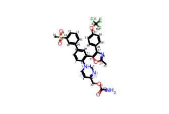 C/N=C(\C=C/Nc1ccc(-c2cccc(S(C)(=O)=O)c2)cc1-c1oc(C)nc1-c1ccc(OC(F)(F)F)cc1)COC(N)=O